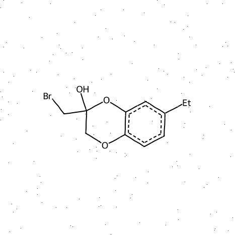 CCc1ccc2c(c1)OC(O)(CBr)CO2